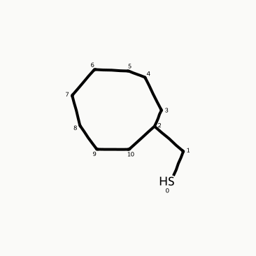 SCC1CCCCCCCC1